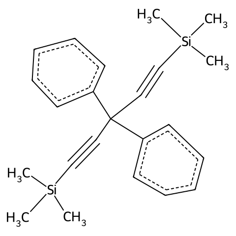 C[Si](C)(C)C#CC(C#C[Si](C)(C)C)(c1ccccc1)c1ccccc1